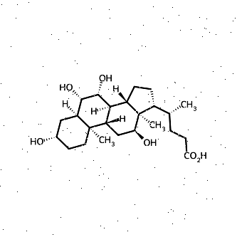 C[C@H](CCC(=O)O)[C@H]1CC[C@H]2[C@@H]3[C@@H](O)[C@@H](O)[C@@H]4C[C@@H](O)CC[C@]4(C)[C@H]3C[C@H](O)[C@]12C